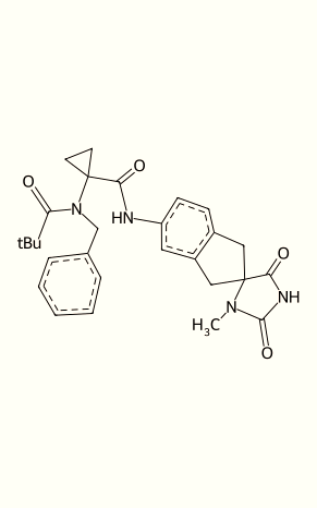 CN1C(=O)NC(=O)C12Cc1ccc(NC(=O)C3(N(Cc4ccccc4)C(=O)C(C)(C)C)CC3)cc1C2